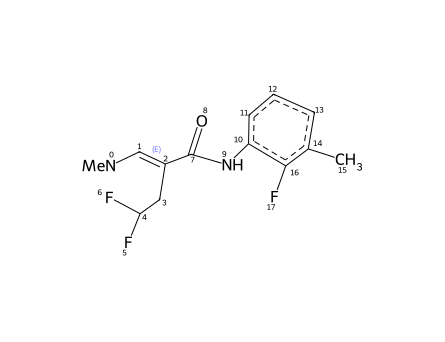 CN/C=C(\CC(F)F)C(=O)Nc1cccc(C)c1F